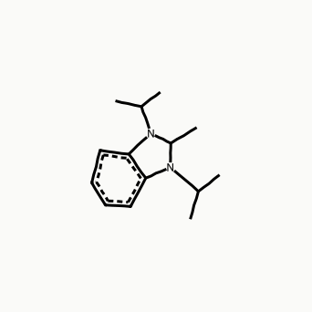 CC(C)N1c2ccccc2N(C(C)C)C1C